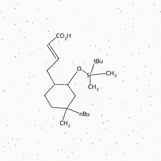 CCCCC1(C)CCC(CC=CC(=O)O)C(O[Si](C)(C)C(C)(C)C)C1